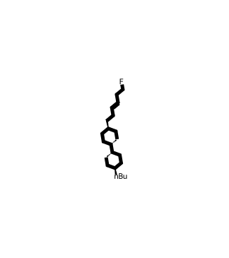 CCCC[C@H]1CC[C@H]([C@H]2CC[C@H](CCC=CCCF)CC2)CC1